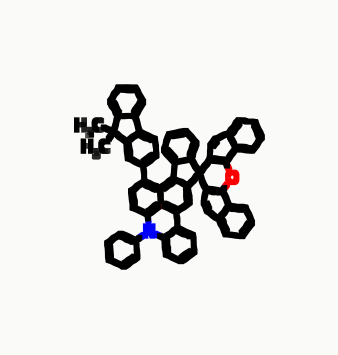 CC1(C)c2ccccc2-c2ccc(-c3ccc(N(c4ccccc4)c4ccccc4-c4ccc5c(c4)C4(c6ccccc6-5)c5ccc6ccccc6c5Oc5c4ccc4ccccc54)cc3)cc21